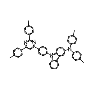 Cc1ccc(-c2cc(-c3ccc(-n4c5ccccc5c5cc(N(c6ccc(C)cc6)c6ccc(C)cc6)ccc54)cc3)nc(-c3ccc(C)cc3)n2)cc1